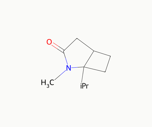 CC(C)C12CCC1CC(=O)N2C